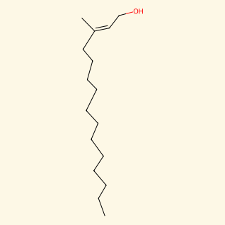 CCCCCCCCCCCCC(C)=CCO